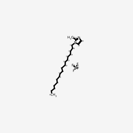 CCCCCCCCCCCCCCCCCCn1ccnc1C.F[B-](F)(F)F